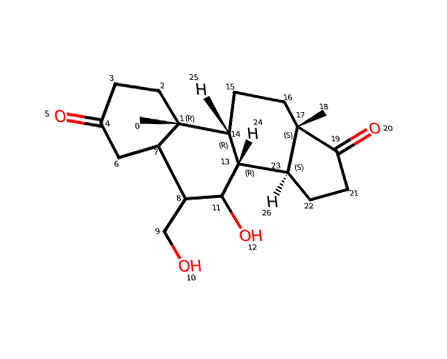 C[C@]12CCC(=O)CC1C(CO)C(O)[C@@H]1[C@H]2CC[C@]2(C)C(=O)CC[C@@H]12